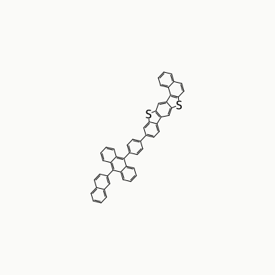 c1ccc2cc(-c3c4ccccc4c(-c4ccc(-c5ccc6c(c5)sc5cc7c(cc56)sc5ccc6ccccc6c57)cc4)c4ccccc34)ccc2c1